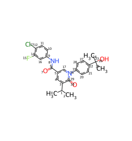 CC(C)c1cc(C(=O)Nc2ccc(Cl)c(F)c2)cn(-c2ccc(C(C)(C)O)cc2)c1=O